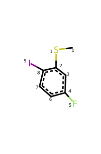 CSc1cc(F)ccc1I